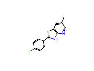 Cc1cnc2[nH]c(-c3ccc(F)cc3)cc2c1